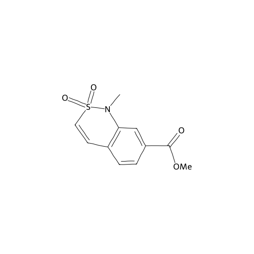 COC(=O)c1ccc2c(c1)N(C)S(=O)(=O)C=C2